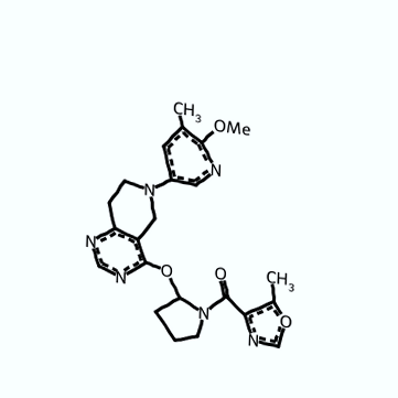 COc1ncc(N2CCc3ncnc(OC4CCCN4C(=O)c4ncoc4C)c3C2)cc1C